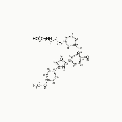 O=C(O)NCCOc1cccc(Cn2cc(-c3nc(-c4ccc(OC(F)(F)F)cc4)no3)ccc2=O)c1